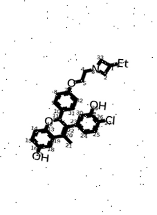 CCC1CN(CCOc2ccc(C3Oc4ccc(O)cc4C(C)=C3c3ccc(Cl)c(O)c3)cc2)C1